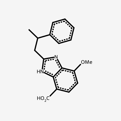 COc1ccc(C(=O)O)c2[nH]c(CC(C)c3ccccc3)nc12